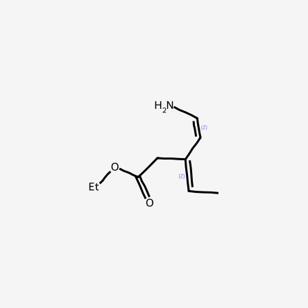 C/C=C(\C=C/N)CC(=O)OCC